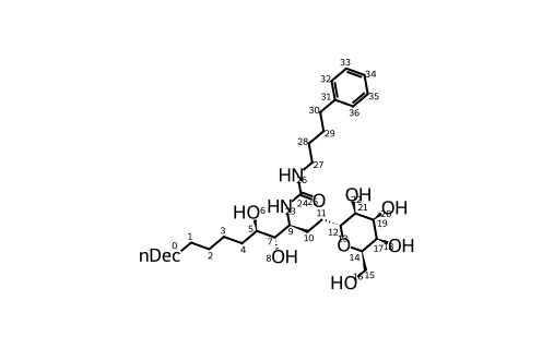 CCCCCCCCCCCCCC[C@@H](O)[C@@H](O)[C@H](CC[C@H]1O[C@H](CO)[C@H](O)[C@H](O)[C@@H]1O)NC(=O)NCCCCc1ccccc1